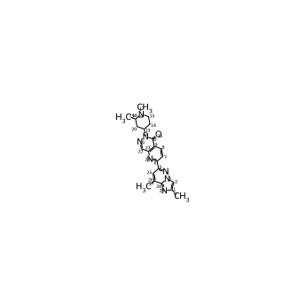 Cc1cn2nc(-c3ccc4c(=O)n(C5CCN(C)C(C)C5)ncc4n3)cc(C)c2n1